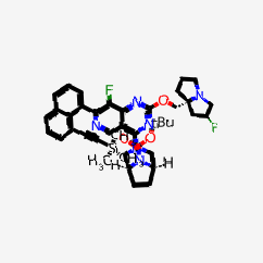 CC(C)(C)OC(=O)N1[C@@H]2CC[C@H]1CN(c1nc(OC[C@]34CCCN3C[C@@H](F)C4)nc3c(F)c(-c4cccc5cccc(C#C[Si](C)(C)C)c45)ncc13)C2